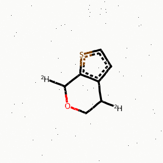 [2H]C1COC([2H])c2sccc21